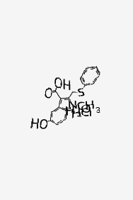 Cl.Cn1c(CSc2ccccc2)c(C(=O)O)c2cc(O)ccc21.O